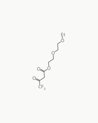 CCOCCOCCOC(=O)CC(=O)C(F)(F)F